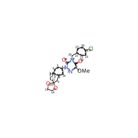 COc1nn(-c2cccc(CC3(C)OCCO3)c2)c(=O)n(Cc2ccc(Cl)cc2)c1=O